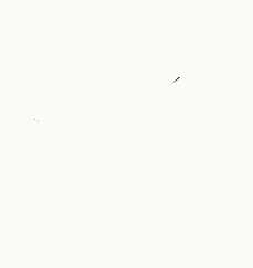 CCC[C@H]1CC[C@H](c2cnc(F)c(F)c2)CC1